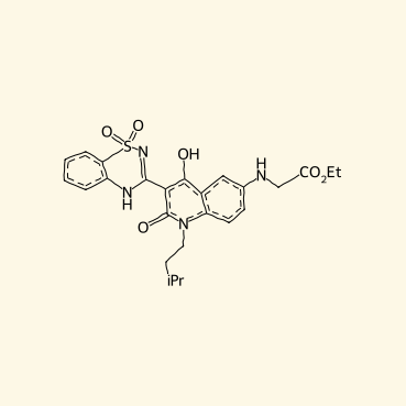 CCOC(=O)CNc1ccc2c(c1)c(O)c(C1=NS(=O)(=O)c3ccccc3N1)c(=O)n2CCC(C)C